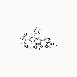 CNc1cc(C2=C(C)CN=C2C)cc(C2CCCC2)c1/C=C(\C=O)c1cnc(C)n1C